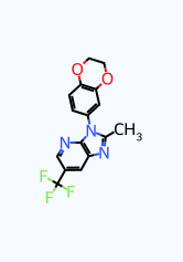 Cc1nc2cc(C(F)(F)F)cnc2n1-c1ccc2c(c1)OCCO2